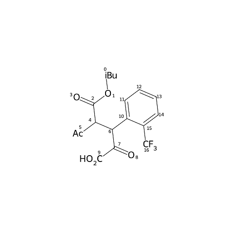 CCC(C)OC(=O)C(C(C)=O)C(C(=O)C(=O)O)c1ccccc1C(F)(F)F